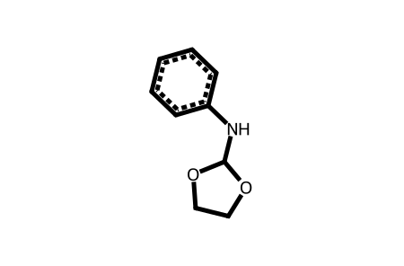 c1ccc(NC2OCCO2)cc1